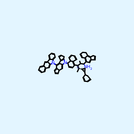 C/C(=C(\C1=C2C=CC=CC2C(n2c3c(c4c2=CC2C=CC=C2C=4n2c4ccccc4c4cc5ccccc5cc42)C=CC3)C=C1)C(C)C(N)c1cc2c(c3c1C=CCC3)CC=C2)[C@H]1CC1C1C=CC=CC1